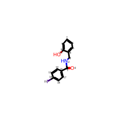 O=C(NCc1ccccc1O)c1ccc(I)cc1